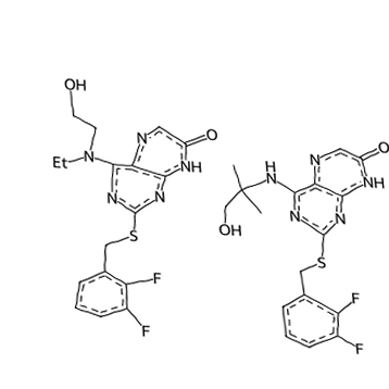 CC(C)(CO)Nc1nc(SCc2cccc(F)c2F)nc2[nH]c(=O)cnc12.CCN(CCO)c1nc(SCc2cccc(F)c2F)nc2[nH]c(=O)cnc12